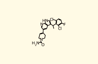 CC(c1c(Cl)ccc(F)c1Cl)c1c[nH]c2ncc(C3=CCN(C(N)=O)CC3)cc12